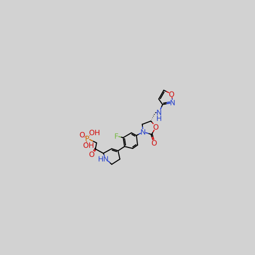 O=C(CP(=O)(O)O)C1C=C(c2ccc(N3C[C@H](CNc4ccon4)OC3=O)cc2F)CCN1